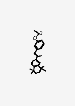 CC(=O)Oc1cccc(C=C(C)c2ccc3c(c2)C(C)(C)CCC3(C)C)c1